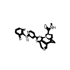 CNC(=O)C1CCCN(c2nc(-c3ccnc(Nc4c(F)cccc4F)c3)nc3cncc(C4CC4)c23)C1